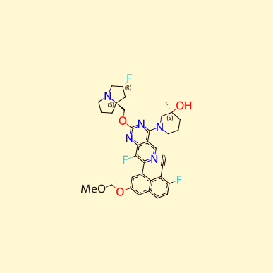 C#Cc1c(F)ccc2cc(OCOC)cc(-c3ncc4c(N5CCC[C@](C)(O)C5)nc(OC[C@@]56CCCN5C[C@H](F)C6)nc4c3F)c12